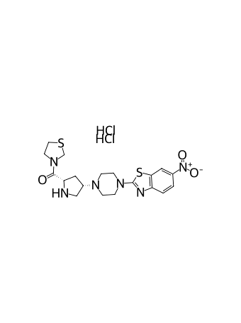 Cl.Cl.O=C([C@@H]1C[C@H](N2CCN(c3nc4ccc([N+](=O)[O-])cc4s3)CC2)CN1)N1CCSC1